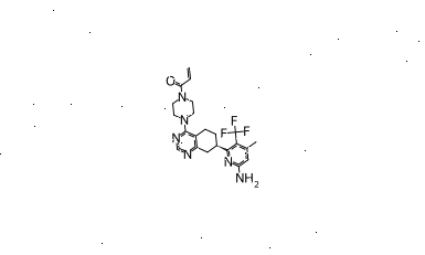 C=CC(=O)N1CCN(c2ncnc3c2CC[C@@H](c2nc(N)cc(C)c2C(F)(F)F)C3)CC1